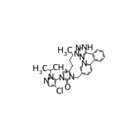 CCCCc1cn(-c2c(Cl)cnn2C(C)C)c(=O)n1Cc1ccc(-c2ccccc2-c2nnn[nH]2)nc1